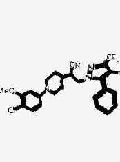 COc1cc(N2CCC(C(O)Cn3nc(C(F)(F)F)c(Cl)c3-c3ccccc3)CC2)ccc1Cl